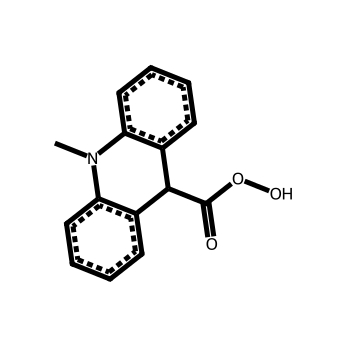 CN1c2ccccc2C(C(=O)OO)c2ccccc21